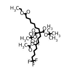 CCOC(=O)CCCCCCC(CCCC(CCCCC(F)(F)F)OC(C)=O)(C(=O)OC(C)(C)C)C(=O)OC(C)(C)C